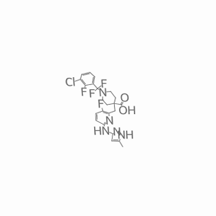 Cc1cc(Nc2ccc(F)c(CC3(C(=O)O)CCN(C(F)(F)c4cccc(Cl)c4F)CC3)n2)n[nH]1